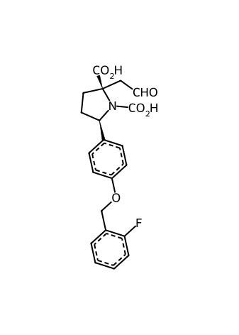 O=CC[C@@]1(C(=O)O)CC[C@H](c2ccc(OCc3ccccc3F)cc2)N1C(=O)O